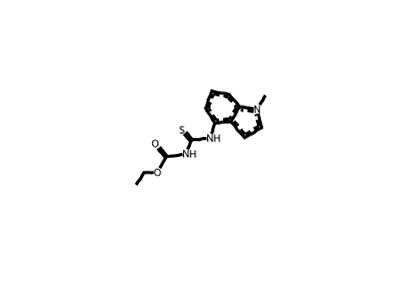 CCOC(=O)NC(=S)Nc1cccc2c1ccn2C